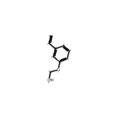 C=Cc1cccc(OCO)c1